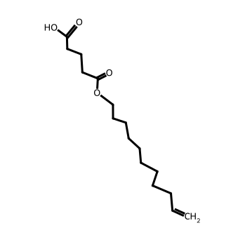 C=CCCCCCCCCCOC(=O)CCCC(=O)O